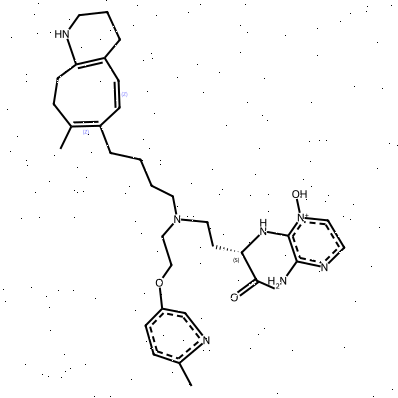 CC(=O)[C@H](CCN(CCCCC1=C(\C)CCC2=C(/C=C\1)CCCN2)CCOc1ccc(C)nc1)Nc1c(N)ncc[n+]1O